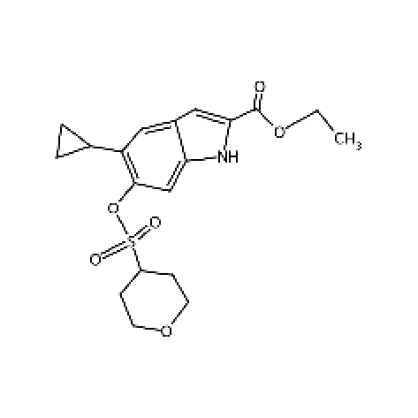 CCOC(=O)c1cc2cc(C3CC3)c(OS(=O)(=O)C3CCOCC3)cc2[nH]1